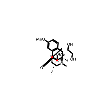 COc1ccc2c(c1)[C@]13CCN(C)[C@H](C2)C1(OC)C[C@H](C)C(=O)C3.OCCO